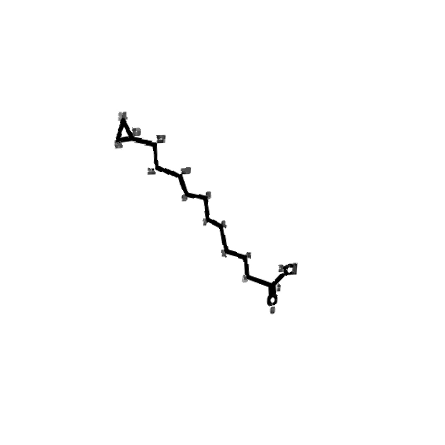 O=C(Cl)CCCCCCCCCCC1CC1